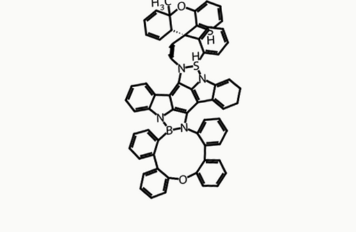 CC12C=CC=CC1[C@@]1(C3=[SH]C=CC=C3O2)c2ccccc2N2c3c4c5ccccc5n5c4c(c4c6c(n(c34)[SH]2c2ccccc21)=CCCC=6)N1B5c2ccccc2-c2ccccc2Oc2ccccc2-c2ccccc21